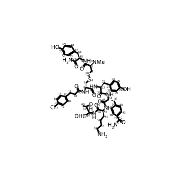 CN[C@@H](CSSC[C@@H](NC(=O)CCc1ccc(Cl)cc1)C(=O)N[C@@H](Cc1ccc(O)cc1)C(=O)N[C@H](Cc1ccc(C(N)=O)cc1)C(=O)N[C@@H](CCCCN)C(=O)NC(C=O)C(C)O)C(=O)N[C@H](Cc1ccc(O)cc1)C(N)=O